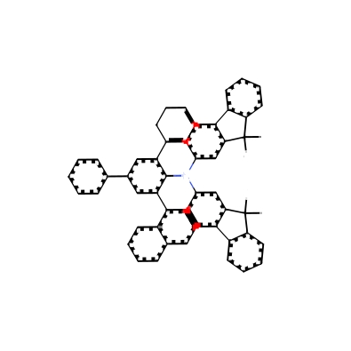 CC1(C)c2cc(N(c3ccc4c(c3)C(C)(C)c3ccccc3-4)c3c(C4=CC=CCC4)cc(-c4ccccc4)cc3-c3cccc4ccccc34)c#cc2-c2ccccc21